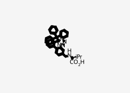 CC(C)[C@H](NCc1ccc(-c2ccccc2C2(C(c3ccccc3)(c3ccccc3)c3ccccc3)N=NN=N2)cc1)C(=O)O